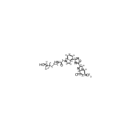 CC(C)(CCCNC(=O)Cn1ccc2c(-c3noc(-c4cn5cc(C(F)(F)F)cc(Cl)c5n4)n3)cccc21)[Si](C)(C)O